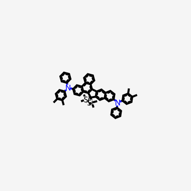 Cc1ccc(N(c2ccccc2)c2ccc3cc4c(cc3c2)C([Si](C)(C)C)([Si](C)(C)C)c2c-4c3ccccc3c3cc(N(c4ccccc4)c4ccc(C)c(C)c4)ccc23)cc1C